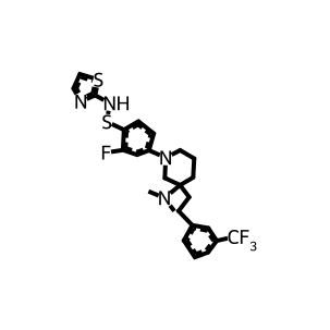 CN(C)C1(CCc2cccc(C(F)(F)F)c2)CCCN(c2ccc(SNc3nccs3)c(F)c2)C1